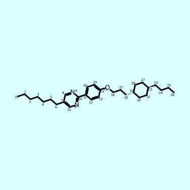 CCCCCCCc1cnc(-c2ccc(OCCC[C@H]3CC[C@H](CCCC)CC3)cc2)nc1